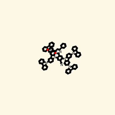 N#Cc1cc(-n2c3ccc(-n4c5ccccc5c5ccccc54)cc3c3cc(-n4c5ccccc5c5ccccc54)ccc32)c(-c2nc(-c3ccccc3)cc(-c3ccccc3)n2)cc1-n1c2ccc(-n3c4ccccc4c4ccccc43)cc2c2cc(-n3c4ccccc4c4ccccc43)ccc21